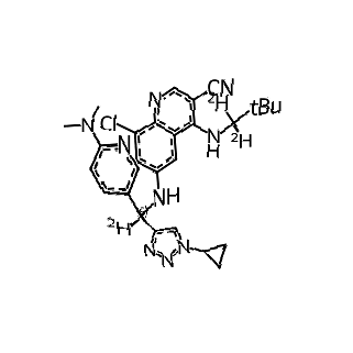 [2H]C([2H])(Nc1c(C#N)cnc2c(Cl)cc(N[C@@]([2H])(c3ccc(N(C)C)nc3)c3cn(C4CC4)nn3)cc12)C(C)(C)C